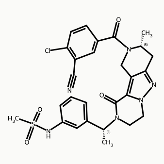 C[C@@H]1Cc2nn3c(c2CN1C(=O)c1ccc(Cl)c(C#N)c1)C(=O)N([C@H](C)c1cccc(NS(C)(=O)=O)c1)CC3